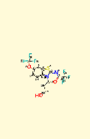 O=C(/N=c1/sc2cc(OC(F)(F)F)ccc2n1CCCO)C(F)(F)F